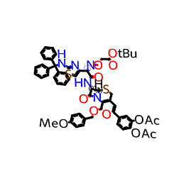 COc1ccc(COC(=O)C2=C(C=Cc3ccc(OC(C)=O)c(OC(C)=O)c3)CS[C@@H]3[C@H](NC(=O)/C(=N\OCC(=O)OC(C)(C)C)c4csc(NC(c5ccccc5)(c5ccccc5)c5ccccc5)n4)C(=O)N23)cc1